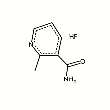 Cc1ncccc1C(N)=O.F